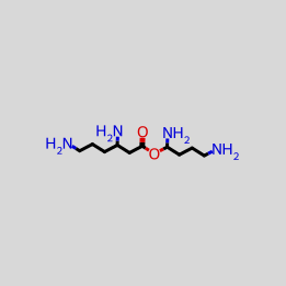 NCCCC(N)CC(=O)OC(N)CCCN